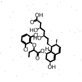 CCC(Oc1c(Cl)cccc1Cl)C(=O)O[C@H]1C[C@H](O)C=C2C=C[C@H](C)[C@H](CC[C@@H](O)C[C@@H](O)CC(=O)O)[C@H]21